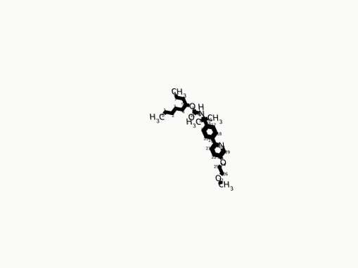 CCCCCC(CCC)OC(=O)NC(C)(C)c1ccc(-c2ccc(OCCOC)cn2)cc1